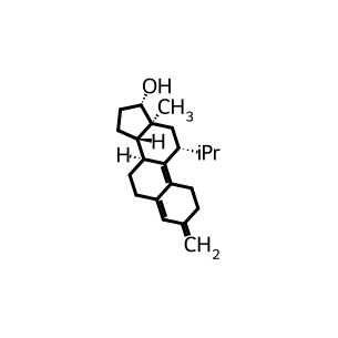 C=C1C=C2CC[C@@H]3C(=C2CC1)[C@@H](C(C)C)C[C@]1(C)[C@@H](O)CC[C@@H]31